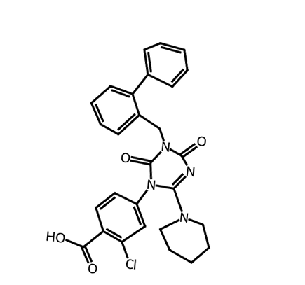 O=C(O)c1ccc(-n2c(N3CCCCC3)nc(=O)n(Cc3ccccc3-c3ccccc3)c2=O)cc1Cl